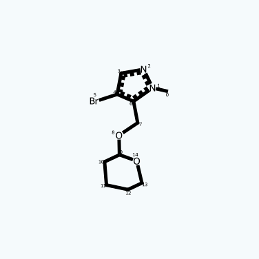 Cn1ncc(Br)c1COC1CCCCO1